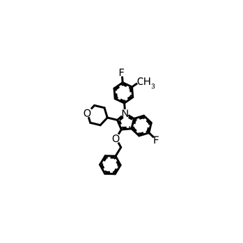 Cc1cc(-n2c(C3CCOCC3)c(OCc3ccccc3)c3cc(F)ccc32)ccc1F